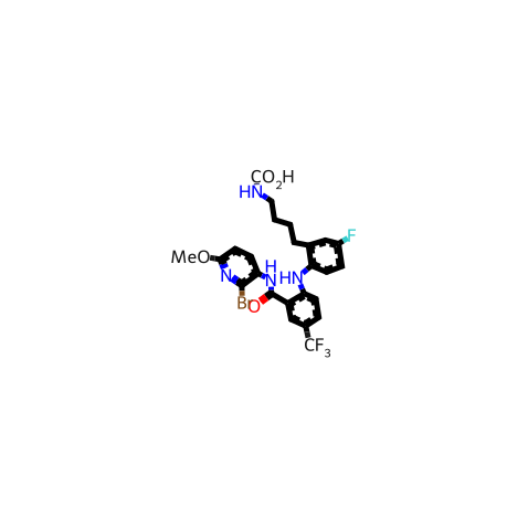 COc1ccc(NC(=O)c2cc(C(F)(F)F)ccc2Nc2ccc(F)cc2CCCCNC(=O)O)c(Br)n1